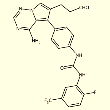 Nc1ncnn2cc(CCC=O)c(-c3ccc(NC(=O)Nc4cc(C(F)(F)F)ccc4F)cc3)c12